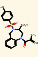 C=C(C)C(=O)N1CC(C(=O)O)N(S(=O)(=O)c2ccc(OC)cc2)Cc2ccccc21